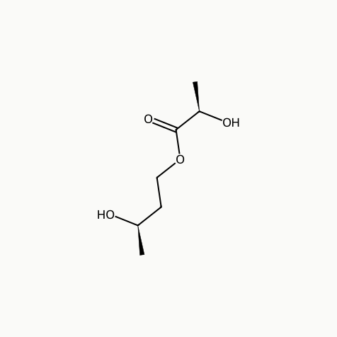 C[C@@H](O)CCOC(=O)[C@@H](C)O